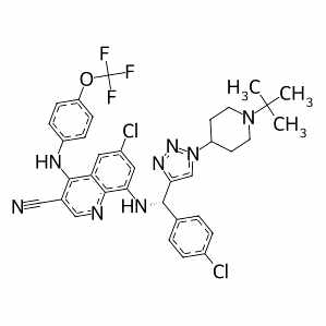 CC(C)(C)N1CCC(n2cc([C@@H](Nc3cc(Cl)cc4c(Nc5ccc(OC(F)(F)F)cc5)c(C#N)cnc34)c3ccc(Cl)cc3)nn2)CC1